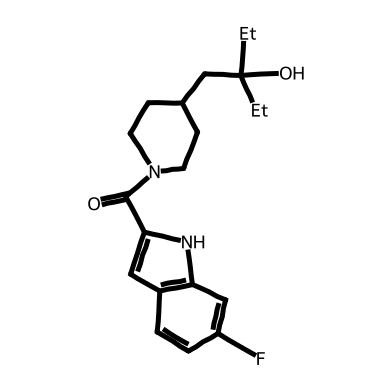 CCC(O)(CC)CC1CCN(C(=O)c2cc3ccc(F)cc3[nH]2)CC1